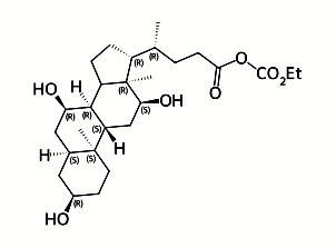 CCOC(=O)OC(=O)CC[C@@H](C)[C@H]1CCC2[C@@H]3[C@H](O)C[C@@H]4C[C@H](O)CC[C@]4(C)[C@H]3C[C@H](O)[C@@]21C